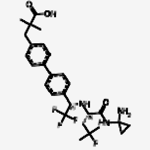 CC(C)(F)C[C@H](N[C@@H](c1ccc(-c2ccc(CC(C)(C)C(=O)O)cc2)cc1)C(F)(F)F)C(=O)NC1(N)CC1